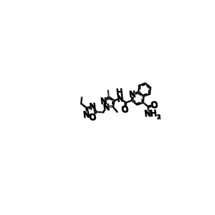 CCc1noc(Cn2nc(C)c(NC(=O)c3cc(C(N)=O)c4ccccc4n3)c2C)n1